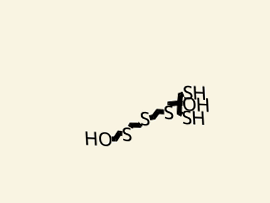 OCCSCCSCCSCC(O)(CS)CS